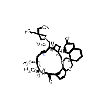 CO[C@@]1(CN2CC(CO)(CO)C2)/C=C/C[C@H](C)[C@@H](C)S(=O)(=O)NC(=O)c2ccc3c(c2)N(C[C@@H]2CC[C@H]21)C[C@@]1(CCCc2cc(Cl)ccc21)CO3